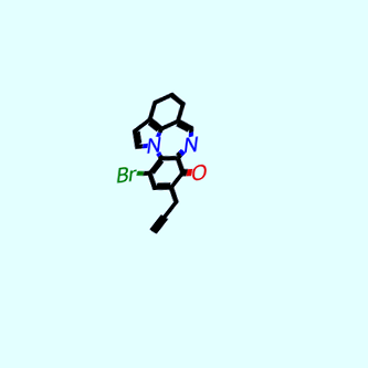 C#CCc1cc(Br)c2n3ccc4c3c(cnc-2c1=O)CCC4